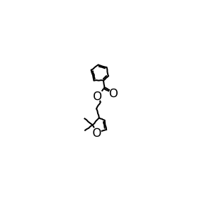 CC1(C)OC=CC1CCOC(=O)c1ccccc1